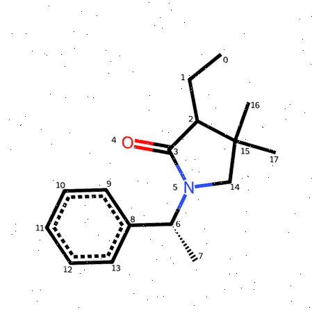 CCC1C(=O)N([C@H](C)c2ccccc2)CC1(C)C